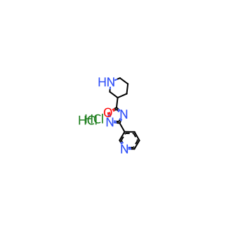 Cl.Cl.c1cncc(-c2noc(C3CCCNC3)n2)c1